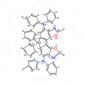 Cc1ccc(N(c2ccccc2)c2cc3c(c4oc(C)nc24)-c2c(cc(N(c4ccccc4)c4ccc(C)cc4)c4nc(C)oc24)C3(c2ccccc2)c2ccccc2)cc1